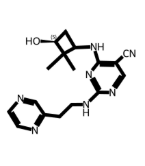 CC1(C)C(Nc2nc(NCCc3cnccn3)ncc2C#N)C[C@@H]1O